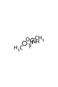 Cc1ccc(Oc2cc(C)[nH]n2)c(CF)c1